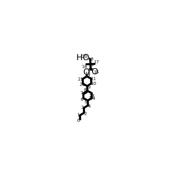 CCCCCC1CC=C(C2CCC(OC(=O)C(C)(C)CO)CC2)CC1